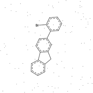 Brc1ccccc1-c1[c]c2c(cc1)-c1ccccc1C2